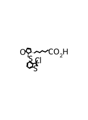 O=C(O)CCCCCC[C@H]1C=CC(=O)[C@@H]1CSc1cccc2scc(Cl)c12